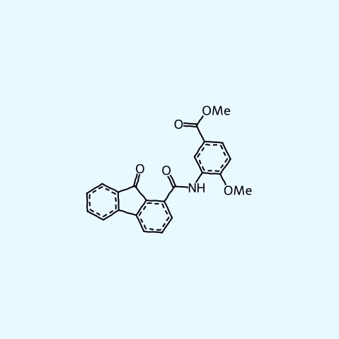 COC(=O)c1ccc(OC)c(NC(=O)c2cccc3c2C(=O)c2ccccc2-3)c1